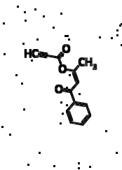 C#CC(=O)OC(C)=CC(=O)c1ccccc1